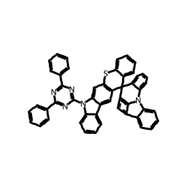 c1ccc(-c2nc(-c3ccccc3)nc(-n3c4ccccc4c4cc5c(cc43)Sc3ccccc3C53c4ccccc4-n4c5ccccc5c5cccc3c54)n2)cc1